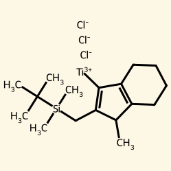 CC1C(C[Si](C)(C)C(C)(C)C)=[C]([Ti+3])C2=C1CCCC2.[Cl-].[Cl-].[Cl-]